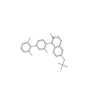 Cc1cc(-c2c(C)cccc2C)ccc1-c1c2ccc(CC(C)(C)C)cc2cc[n+]1C